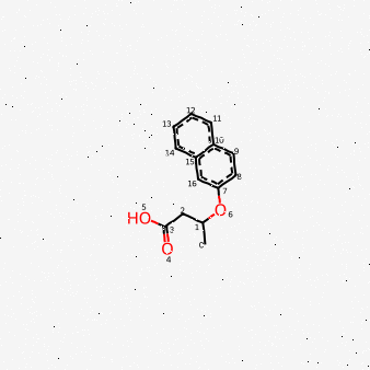 CC(CC(=O)O)Oc1ccc2ccccc2c1